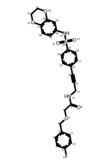 O=C(COCc1ccc(F)cc1)NCC#Cc1ccc(S(=O)(=O)Nc2ccc3c(c2)OCCO3)cc1